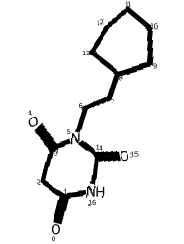 O=C1CC(=O)N(CCC2CCCCC2)C(=O)N1